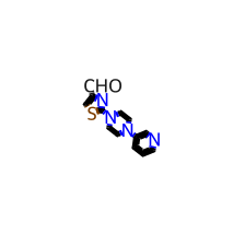 O=Cc1csc(N2CCN(c3cccnc3)CC2)n1